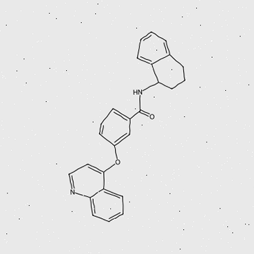 O=C(NC1CCCc2ccccc21)c1cccc(Oc2ccnc3ccccc23)c1